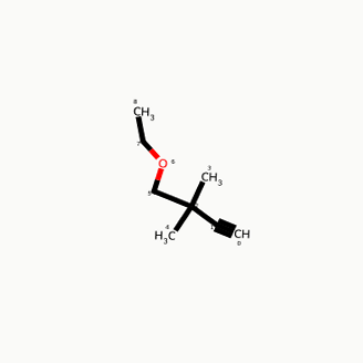 C#CC(C)(C)COCC